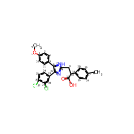 COc1ccc(-c2[nH]c(CC(C(=O)O)c3ccc(C)cc3)nc2-c2ccc(Cl)c(Cl)c2)cc1